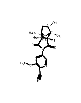 COc1cc(N2C(=O)[C@@H]3[C@H](C2=O)[C@@]2(C)C[C@H](O)[C@]3(C)O2)cnc1C#N